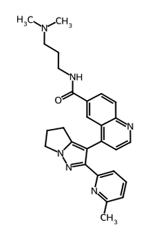 Cc1cccc(-c2nn3c(c2-c2ccnc4ccc(C(=O)NCCCN(C)C)cc24)CCC3)n1